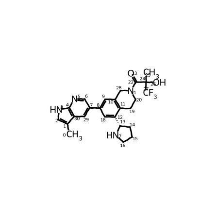 Cc1c[nH]c2ncc(-c3cc4c(c([C@@H]5CCCN5)c3)CCN(C(=O)C(C)(O)C(F)(F)F)C4)cc12